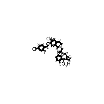 O=C(O)c1ccc2nc(CN3CCc4cc(Cl)c(OCc5ccc(Cl)cc5F)nc4C3)n(C[C@@H]3CCO3)c2c1F